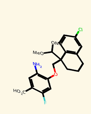 COC(OC)C1(COc2cc(F)c(C(=O)O)cc2N)CCCc2cc(Cl)ccc21